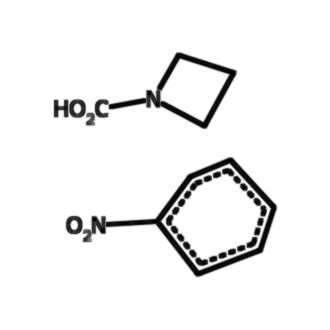 O=C(O)N1CCC1.O=[N+]([O-])c1ccccc1